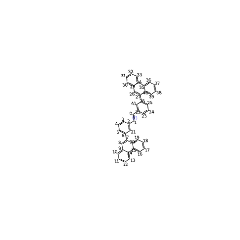 C(=C\c1cccc(-c2cc3ccccc3c3ccccc23)c1)/c1cccc(-c2cc3ccccc3c3ccccc23)c1